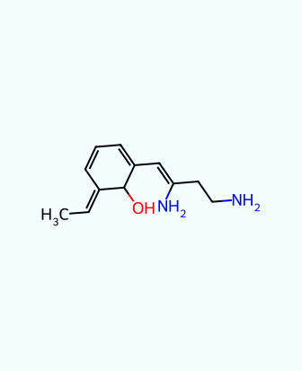 CC=C1C=CC=C(C=C(N)CCN)C1O